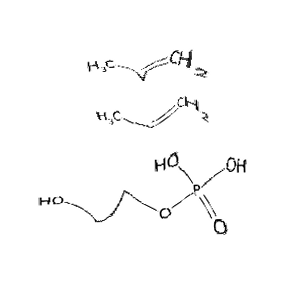 C=CC.C=CC.O=P(O)(O)OCCO